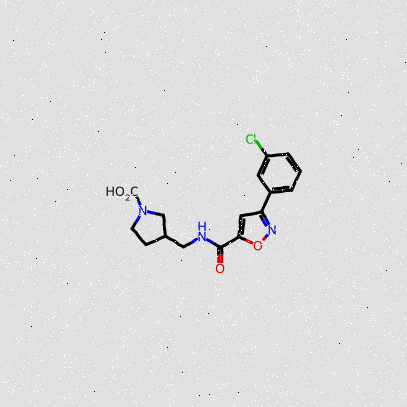 O=C(NCC1CCN(C(=O)O)C1)c1cc(-c2cccc(Cl)c2)no1